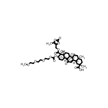 COCCOCCOCCOC(=O)O[C@H]1CC[C@@]2(C)[C@@H](CC[C@]3(C)[C@@H]2C(=O)C=C2[C@@H]4C[C@@](C)(C(=O)O)CC[C@]4(C)CC[C@]23C)[C@]1(C)C(=O)OCc1oc(=O)oc1C